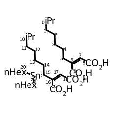 CC(C)CCCCC/C(=C/C(=O)O)C(=O)O.CC(C)CCCCC/C(=C/C(=O)O)C(=O)O.CCCCC[CH2][Sn][CH2]CCCCC